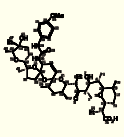 CCC(C(=O)[C@@H](C)[C@@H](O)[C@H](C)[C@@H]1O[C@@H]([C@@H](CC)C(=O)O)CC[C@@H]1C)[C@H]1O[C@]2(C=CC(NC(=O)Nc3ccc(OC)cc3)[C@]3(CC[C@@](C)([C@H]4CC[C@](O)(CC)[C@H](C)O4)O3)O2)[C@H](C)C[C@@H]1C